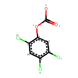 [O]C(=O)Oc1cc(Cl)c(Cl)cc1Cl